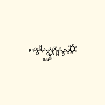 CC(C)(C)OC(=O)NCCCC[C@H](NC(=O)OC(C)(C)C)C(=O)NCC(=O)OCc1ccccc1